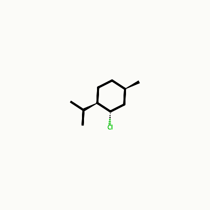 CC(C)[C@H]1CC[C@@H](C)C[C@@H]1Cl